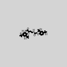 CCC(C)(C)c1ccc(OCC(=O)NCCC(Oc2ccc(C(C)(C)CC)cc2C(C)(C)CC)C(N)=O)c(C(C)(C)CC)c1